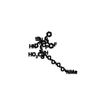 CNCCOCCOCCOCCOCCC(=O)N[C@@H](CSCC(=O)N(CC1CCNC1)[C@@H](c1cc(-c2cc(F)ccc2F)cn1Cc1ccccc1)C(C)(C)C)C(=O)O